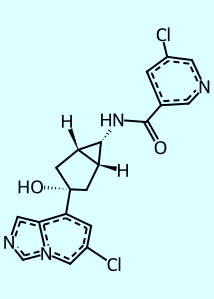 O=C(N[C@@H]1[C@@H]2C[C@@](O)(c3cc(Cl)cn4cncc34)C[C@@H]21)c1cncc(Cl)c1